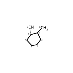 CC1CCCC[C@@H]1C#N